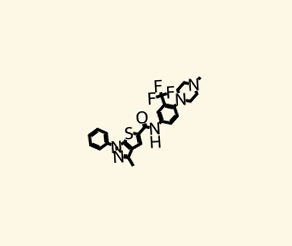 Cc1nn(-c2ccccc2)c2sc(C(=O)Nc3ccc(N4CCN(C)CC4)c(C(F)(F)F)c3)cc12